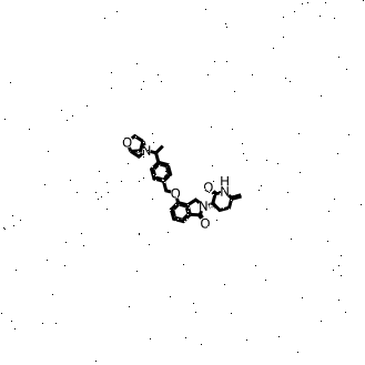 C=C1CC[C@H](N2Cc3c(OCc4ccc(C(C)N5CC6CC5CO6)cc4)cccc3C2=O)C(=O)N1